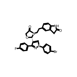 O=C1Cc2cc(CCN3C(=O)CO[C@H]3c3cn(-c4ccc(Br)cc4)nc3-c3ccc(F)cc3)ccc2N1